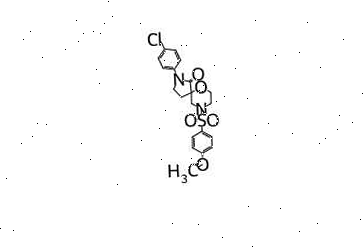 COc1ccc(S(=O)(=O)N2CCOC3(CCN(c4ccc(Cl)cc4)C3=O)C2)cc1